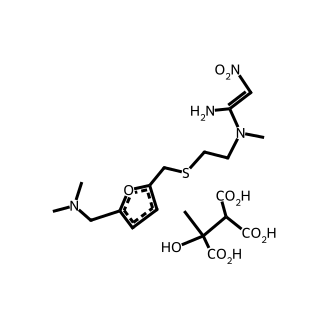 CC(O)(C(=O)O)C(C(=O)O)C(=O)O.CN(C)Cc1ccc(CSCCN(C)C(N)=C[N+](=O)[O-])o1